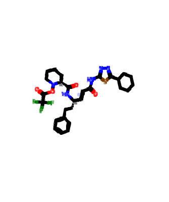 O=C(/C=C/[C@H](CCc1ccccc1)NC(=O)[C@@H]1CCCCN1OC(=O)C(F)(F)F)Nc1nnc(C2CCCCC2)s1